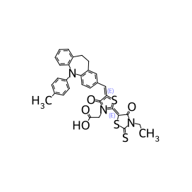 CCN1C(=O)/C(=c2\s/c(=C/c3ccc4c(c3)CCc3ccccc3N4c3ccc(C)cc3)c(=O)n2CC(=O)O)SC1=S